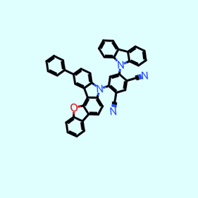 N#Cc1cc(C#N)c(-n2c3ccc(-c4ccccc4)cc3c3c4oc5ccccc5c4ccc32)cc1-n1c2ccccc2c2ccccc21